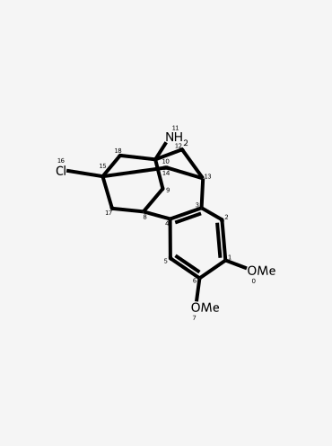 COc1cc2c(cc1OC)C1CC3(N)CC2CC(Cl)(C1)C3